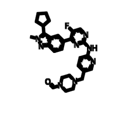 Cn1nc2ccc(-c3nc(Nc4ccc(CN5CCN(C=O)CC5)cn4)ncc3F)cc2c1C1CCCC1